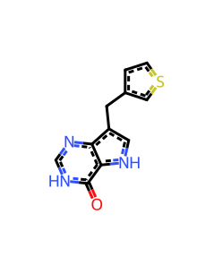 O=c1[nH]cnc2c(Cc3ccsc3)c[nH]c12